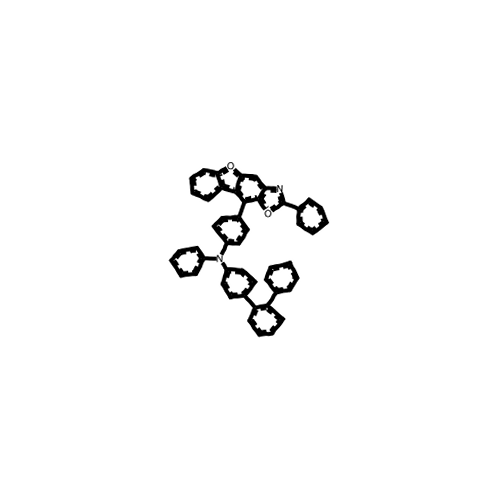 c1ccc(-c2nc3cc4oc5ccccc5c4c(-c4ccc(N(c5ccccc5)c5ccc(-c6ccccc6-c6ccccc6)cc5)cc4)c3o2)cc1